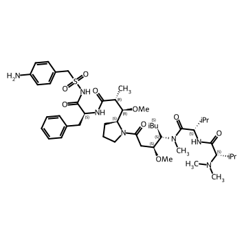 CC[C@H](C)[C@@H]([C@H](CC(=O)N1CCC[C@H]1[C@H](OC)[C@@H](C)C(=O)N[C@@H](Cc1ccccc1)C(=O)NS(=O)(=O)Cc1ccc(N)cc1)OC)N(C)C(=O)[C@@H](NC(=O)[C@H](C(C)C)N(C)C)C(C)C